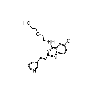 OCCOCCNc1nc(/C=C/c2cccnc2)nc2ccc(Cl)cc12